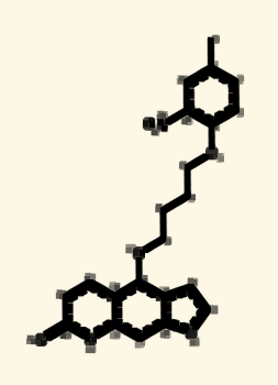 Cc1ccc(OCCCCOc2c3ccoc3cc3oc(=O)ccc23)c([N+](=O)[O-])c1